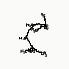 CCCCCCCCC(CCCCCC)(CCCCCCCN(C)CCCCCCCCN(C)CCCCCCCC(CCCCCC)(CCCCCCCC)C(=O)O)C(=O)O